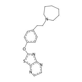 c1cnc2sc(Oc3ccc(CCN4CCCCCC4)cc3)nc2n1